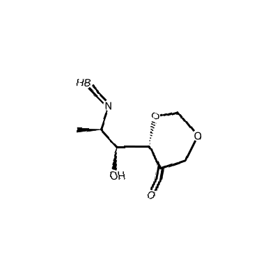 B=N[C@H](C)[C@H](O)[C@@H]1OCOCC1=O